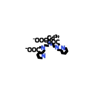 O=C([O-])CN(CCN(CC(=O)[O-])Cc1ccccn1)CCN(CC(=O)[O-])Cc1ccccn1.[Gd+3]